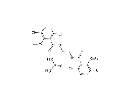 CN(C)C.COc1c(Cl)ccc(Cl)c1C(=O)OCCOC(=O)c1c(Cl)ccc(Cl)c1OC